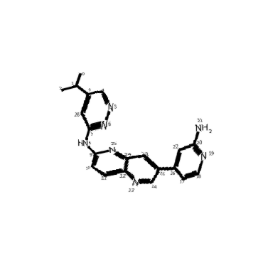 CC(C)c1cnnc(Nc2ccc3ncc(-c4ccnc(N)c4)cc3n2)c1